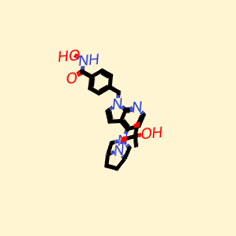 CC(C)(O)CN1C2CCC1CN(c1ccnc3c1ccn3Cc1ccc(C(=O)NO)cc1)C2